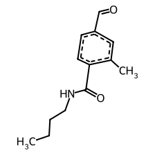 CCCCNC(=O)c1ccc(C=O)cc1C